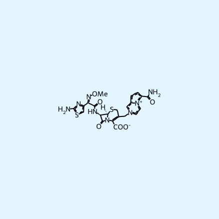 CO/N=C(\C(=O)N[C@@H]1C(=O)N2C(C(=O)[O-])=C(Cn3cc[n+]4c(C(N)=O)ccc-4c3)CS[C@H]12)c1csc(N)n1